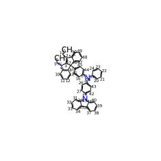 C=CC1=C(/C=C\C)C(c2ccccc2)(c2ccc(N(c3ccccc3)c3ccc(-n4c5ccccc5c5ccccc54)cc3)cc2)c2ccccc21